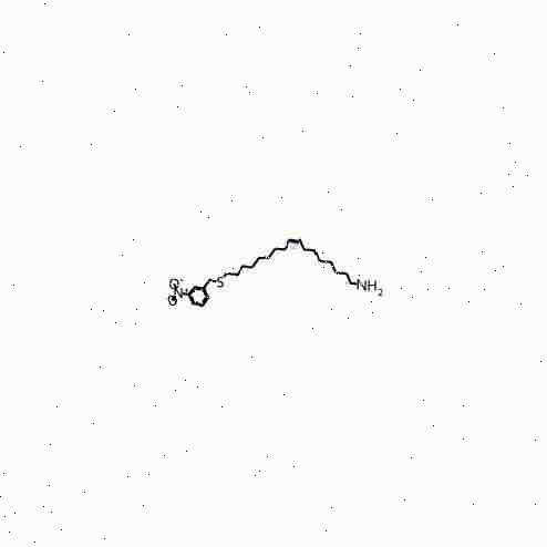 N[CH]CCCCCC/C=C\CCCCCCCCSCc1cccc([N+](=O)[O-])c1